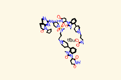 CN(CCCN1CCC(c2cccc3c2n(C)c(=O)n3C2CCC(=O)NC2=O)CC1)C(=O)OC(C)(C)C.CN(CCCN1CCC(c2cccc3c2n(C)c(=O)n3C2CCC(=O)NC2=O)CC1)S(=O)(=O)N1CCC(Nc2ncc3ccc(=O)n(C4CCCC4)c3n2)CC1